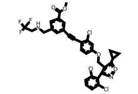 COC(=O)c1cc(C#Cc2ccc(OCc3c(-c4c(Cl)cccc4Cl)noc3C3CC3)cc2Cl)cc(CNCC(F)(F)F)c1